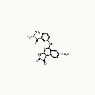 CN(C)C(=O)c1cccc(Nc2nc3c(c4ccc(C(=O)O)cc24)C(=O)C(=O)N3)c1